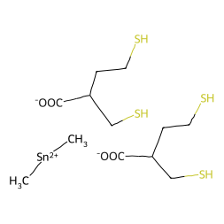 O=C([O-])C(CS)CCS.O=C([O-])C(CS)CCS.[CH3][Sn+2][CH3]